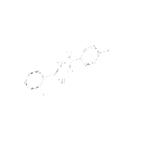 Cc1ccc(S(=O)(=O)N=C(N)c2ccccc2C)cc1